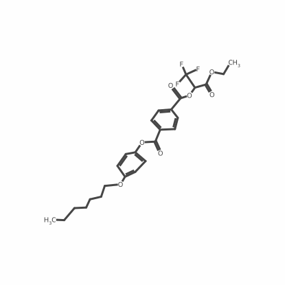 CCCCCCCOc1ccc(OC(=O)c2ccc(C(=O)OC(C(=O)OCC)C(F)(F)F)cc2)cc1